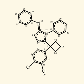 Clc1ccc(C2(c3csc(=Nc4ccccc4)n3-c3ccccc3)CCC2)cc1Cl